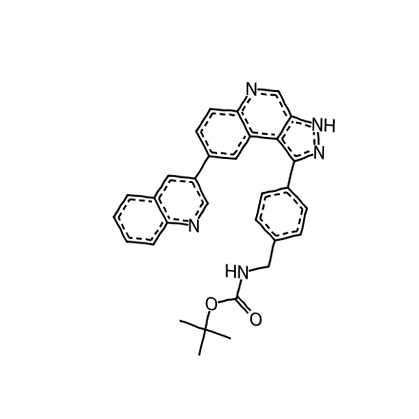 CC(C)(C)OC(=O)NCc1ccc(-c2n[nH]c3cnc4ccc(-c5cnc6ccccc6c5)cc4c23)cc1